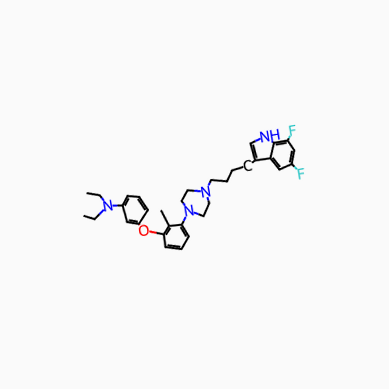 CCN(CC)c1cccc(Oc2cccc(N3CCN(CCCCc4c[nH]c5c(F)cc(F)cc45)CC3)c2C)c1